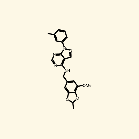 COc1cc(CNc2ncnc3c2cnn3-c2cccc(C)c2)cc2c1OC(C)O2